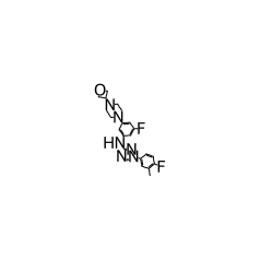 Cc1cc(-n2cnc(Nc3cc(F)cc(N4CCN(C5COC5)CC4)c3)n2)ccc1F